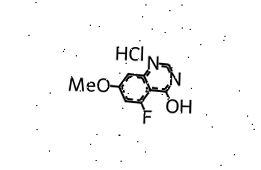 COc1cc(F)c2c(O)ncnc2c1.Cl